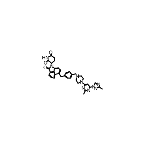 Cc1nc(N2CCN(Cc3ccc(Cc4ccc5c6c(cccc46)C(=O)N5C4CCC(=O)NC4=O)cc3)CC2)cc(-n2cnc(C)n2)n1